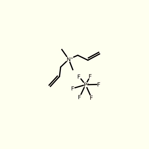 C=CC[N+](C)(C)CC=C.F[P-](F)(F)(F)(F)F